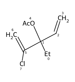 [CH2]CC(C=C)(OC(C)=O)C(=C)Cl